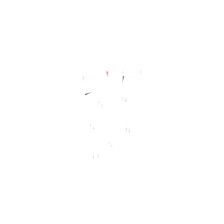 CCCn1cnc2c1N=CN1C2=N[C@](C)(C(=O)O)[C@H](O)[C@@]1(C)O